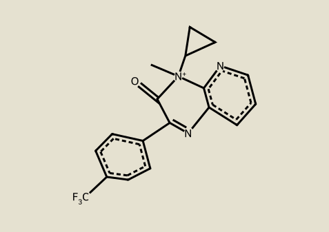 C[N+]1(C2CC2)C(=O)C(c2ccc(C(F)(F)F)cc2)=Nc2cccnc21